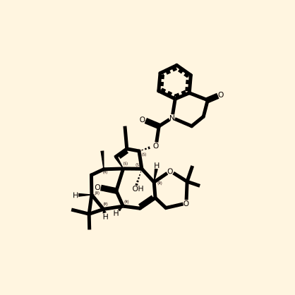 CC1=C[C@]23C(=O)[C@@H](C=C4COC(C)(C)O[C@H]4[C@]2(O)[C@H]1OC(=O)N1CCC(=O)c2ccccc21)[C@H]1[C@@H](C[C@H]3C)C1(C)C